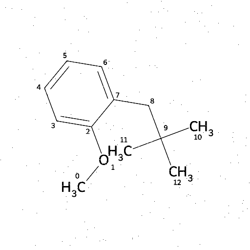 COc1ccccc1CC(C)(C)C